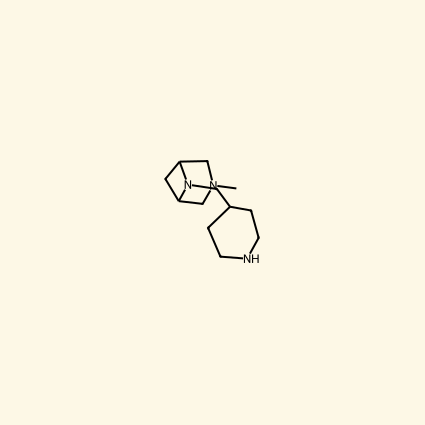 CN1CC2CC(C1)N2CC1CCNCC1